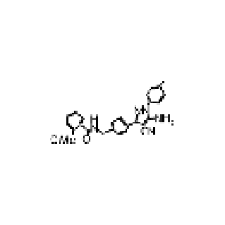 COc1ccccc1C(=O)NCc1ccc(-c2nn(-c3ccc(C)cc3)c(N)c2C#N)cc1